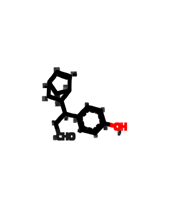 O=CCC(c1ccc(O)cc1)C1CC2C=CC1C2